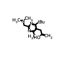 C=C(O)Cc1c(C)nc(CN(C)C)nc1C(C)(C)C